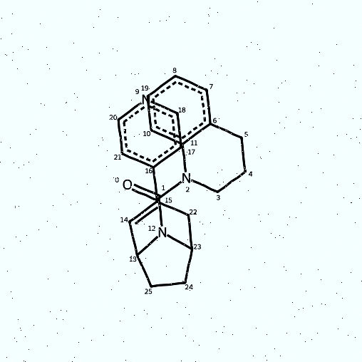 O=C(N1CCCc2ccccc21)N1C2C=C(c3ccncc3)CC1CC2